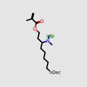 Br.C=C(C)C(=O)OCCC(CCCCCCCCCCCCCCC)N(C)C